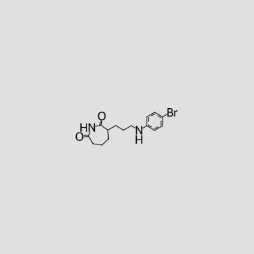 O=C1CCCC(CCCNc2ccc(Br)cc2)C(=O)N1